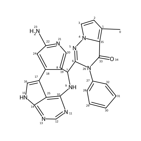 Cc1ccn2nc(C(C)Nc3ncnc4[nH]cc(-c5ccnc(N)c5)c34)n(-c3ccccc3)c(=O)c12